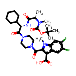 C[C@@H](C(=O)N[C@H](C(=O)N1CCN(C(=O)c2c(C(=O)O)c3cc(F)c(F)cc3n2C)CC1)C1CCCCC1)N(C)C(=O)OC(C)(C)C